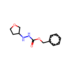 O=C(NNC1CCOC1)OCc1ccccc1